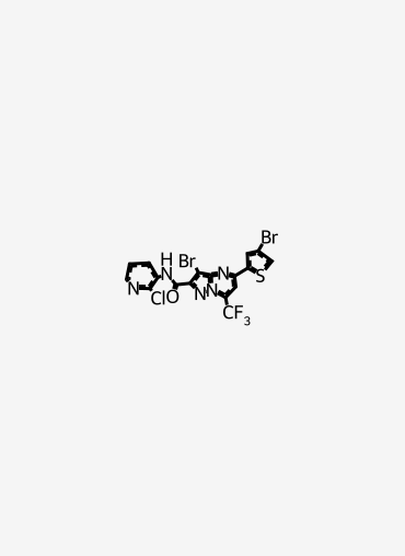 O=C(Nc1cccnc1Cl)c1nn2c(C(F)(F)F)cc(-c3cc(Br)cs3)nc2c1Br